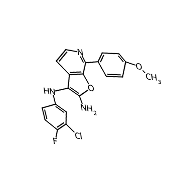 COc1ccc(-c2nccc3c(Nc4ccc(F)c(Cl)c4)c(N)oc23)cc1